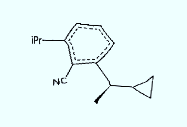 CC(C)c1cccc([C@H](C)C2CC2)c1C#N